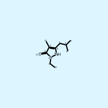 CCn1[nH]c(CC(C)C)c(C)c1=O